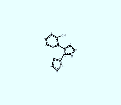 N#Cc1ccccc1-c1ccoc1-c1ccco1